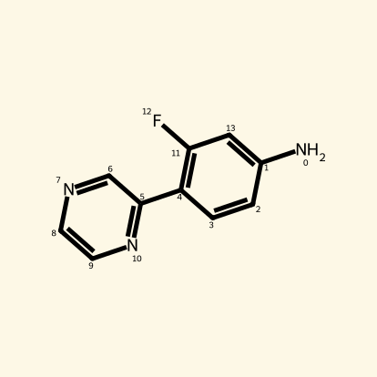 Nc1ccc(-c2cnccn2)c(F)c1